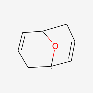 C1=CC2CC=C[C](C1)O2